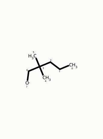 CCCC(C)(C)C[O]